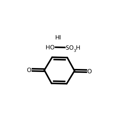 I.O=C1C=CC(=O)C=C1.O=S(=O)(O)O